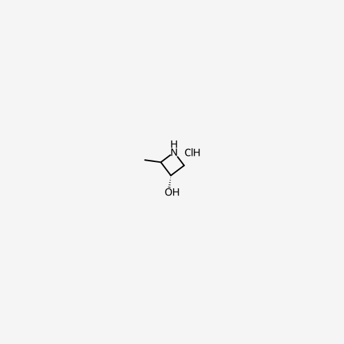 CC1NC[C@@H]1O.Cl